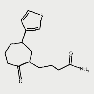 NC(=O)CCCN1CC(c2ccsc2)CCCC1=O